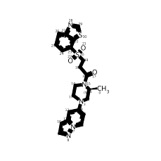 C[C@H]1CN(c2ccn3nccc3c2)CCN1C(=O)CCS(=O)(=O)c1cccc2ncsc12